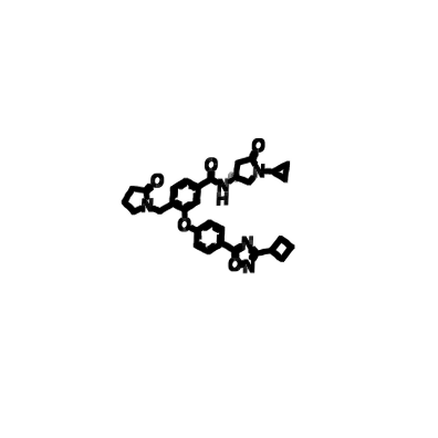 O=C(N[C@H]1CC(=O)N(C2CC2)C1)c1ccc(CN2CCCC2=O)c(Oc2ccc(-c3nc(C4CCC4)no3)cc2)c1